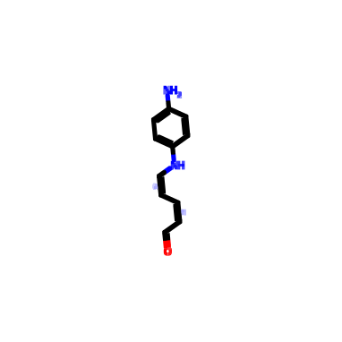 Nc1ccc(N/C=C\C=C/C=O)cc1